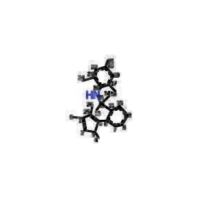 CC1=CC(C)C(c2ccccc2C(C)(C)Nc2c(C)cc(C)cc2C)=C1C